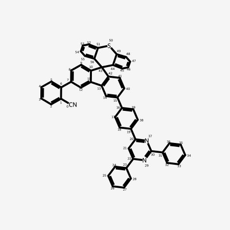 N#Cc1ccccc1-c1ccc2c(c1)-c1cc(-c3ccc(-c4cc(-c5ccccc5)nc(-c5ccccc5)n4)cc3)ccc1C21c2ccccc2Sc2ccccc21